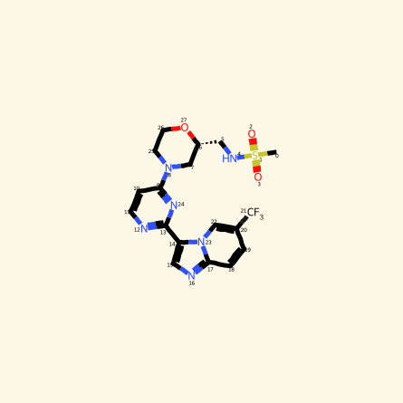 CS(=O)(=O)NC[C@@H]1CN(c2ccnc(-c3cnc4ccc(C(F)(F)F)cn34)n2)CCO1